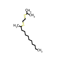 CCCCCCCCCCC(C)SCCSC(C)C